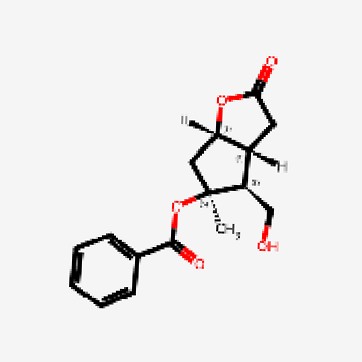 C[C@]1(OC(=O)c2ccccc2)C[C@@H]2OC(=O)C[C@@H]2[C@H]1CO